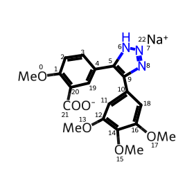 COc1ccc(-c2[nH]nnc2-c2cc(OC)c(OC)c(OC)c2)cc1C(=O)[O-].[Na+]